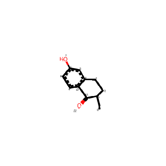 CC1CCc2cc(O)ccc2C1=O